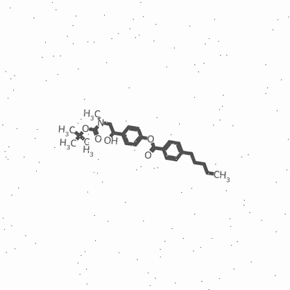 CCCCCc1ccc(C(=O)Oc2ccc(C(O)CN(C)C(=O)OC(C)(C)C)cc2)cc1